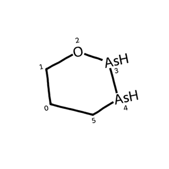 C1CO[AsH][AsH]C1